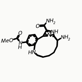 COC(=O)Nc1ccc2c(c1)NCCCCCC(N)c1nc-2c(C(N)=O)[nH]1